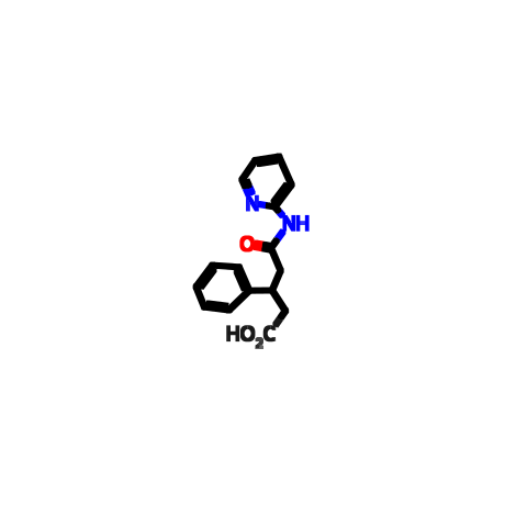 O=C(O)CC(CC(=O)Nc1ccccn1)c1ccccc1